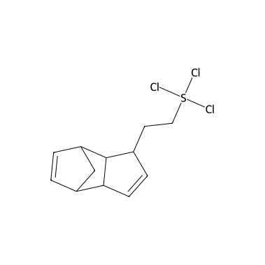 ClS(Cl)(Cl)CCC1C=CC2C3C=CC(C3)C12